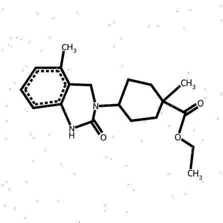 CCOC(=O)C1(C)CCC(N2Cc3c(C)cccc3NC2=O)CC1